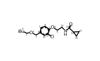 CCC(C)COCc1ccc(OCCNC(=O)C2CC2)c(Cl)c1